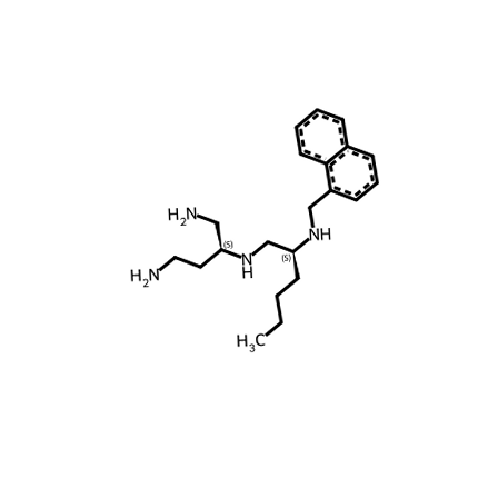 CCCC[C@@H](CN[C@H](CN)CCN)NCc1cccc2ccccc12